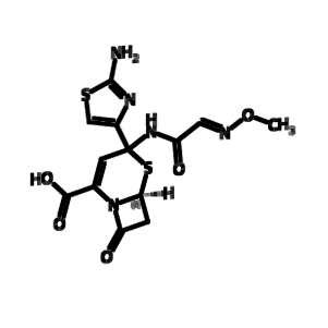 CON=CC(=O)NC1(c2csc(N)n2)C=C(C(=O)O)N2C(=O)C[C@@H]2S1